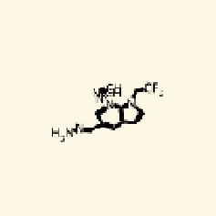 C#N.C#N.NN=Cc1cnc2c(ccn2CC(F)(F)F)c1